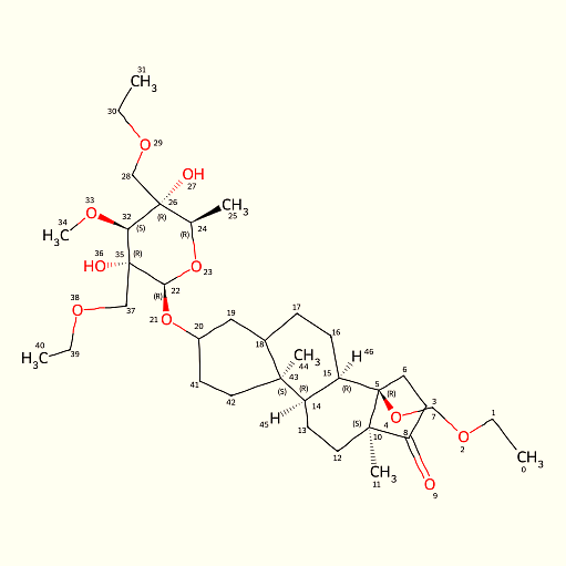 CCOCO[C@@]12CCC(=O)[C@@]1(C)CC[C@@H]1[C@H]2CCC2CC(O[C@@H]3O[C@H](C)[C@](O)(COCC)[C@H](OC)[C@]3(O)COCC)CC[C@@]21C